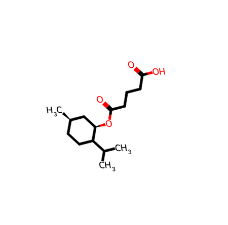 CC(C)C1CC[C@@H](C)C[C@H]1OC(=O)CCCC(=O)O